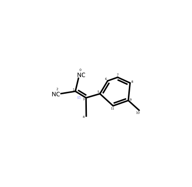 [C-]#[N+]/C(C#N)=C(/C)c1cccc(C)c1